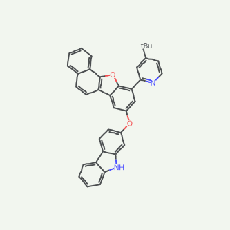 CC(C)(C)c1ccnc(-c2cc(Oc3ccc4c(c3)[nH]c3ccccc34)cc3c2oc2c4ccccc4ccc32)c1